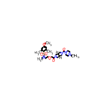 COc1cc(C)c(S(=O)(=O)N(C)CCOCC(=O)N2C[C@@H]3CN(C(=O)N4CCN(C)CC4)C[C@@H]3C2)c(C)c1